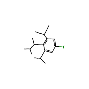 CC(C)c1cc(F)cc(C(C)C)c1C(C)C(C)C